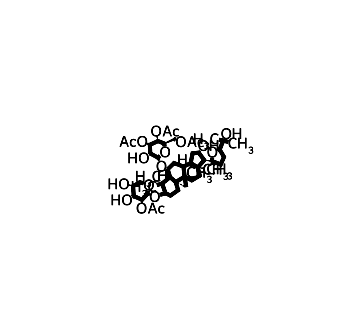 CC(=O)OC[C@H]1O[C@@H](OC2C[C@@H]3C4(CC[C@]5(C)[C@@H]([C@@]6(C)CCC(C(C)(C)O)O6)[C@@H](O)C[C@@]35C)C[C@@]43CCC(O[C@@H]4OC[C@@H](O)C(O)[C@H]4OC(C)=O)C(C)(C)[C@H]23)C(O)[C@@H](OC(C)=O)[C@@H]1OC(C)=O